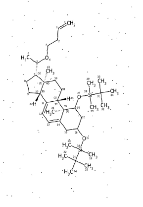 C=CCCOC(C)[C@H]1CC[C@H]2C3=CC=C4CC(O[Si](C)(C)C(C)(C)C)CC(O[Si](C)(C)C(C)(C)C)[C@]4(C)[C@H]3CC[C@]12C